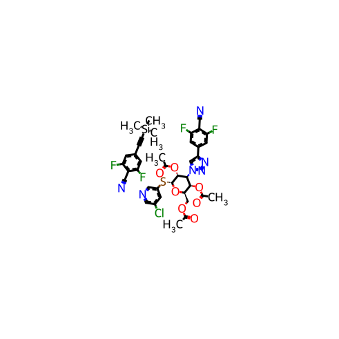 CC(=O)OC[C@H]1O[C@H](Sc2cncc(Cl)c2)[C@H](OC(C)=O)[C@@H](n2cc(-c3cc(F)c(C#N)c(F)c3)nn2)[C@H]1OC(C)=O.C[Si](C)(C)C#Cc1cc(F)c(C#N)c(F)c1